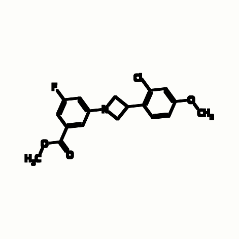 COC(=O)c1cc(F)cc(N2CC(c3ccc(OC)cc3Cl)C2)c1